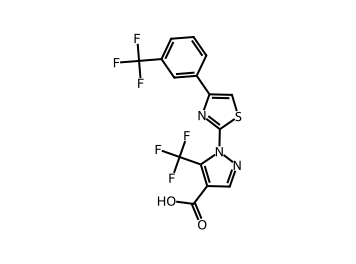 O=C(O)c1cnn(-c2nc(-c3cccc(C(F)(F)F)c3)cs2)c1C(F)(F)F